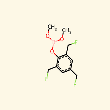 COB(OC)Oc1c(CF)cc(CF)cc1CF